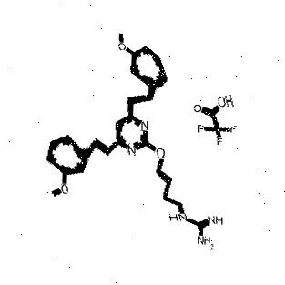 COc1cccc(C=Cc2cc(C=Cc3cccc(OC)c3)nc(OCCCCNC(=N)N)n2)c1.O=C(O)C(F)(F)F